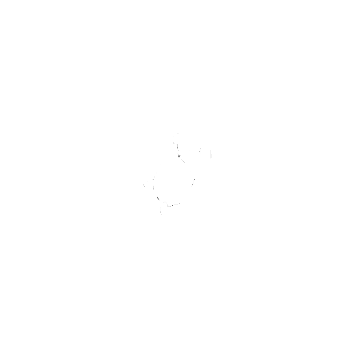 ClC1(Cl)CCOOO1